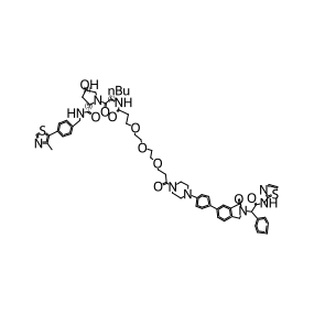 CCCC[C@H](NC(=O)CCOCCOCCOCCC(=O)N1CCN(c2ccc(-c3ccc4c(c3)C(=O)N(C(C(=O)Nc3nccs3)c3ccccc3)C4)cc2)CC1)C(=O)N1C[C@H](O)C[C@H]1C(=O)NCc1ccc(-c2scnc2C)cc1